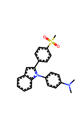 CN(C)c1ccc(-n2c(-c3ccc(S(C)(=O)=O)cc3)cc3ccccc32)cc1